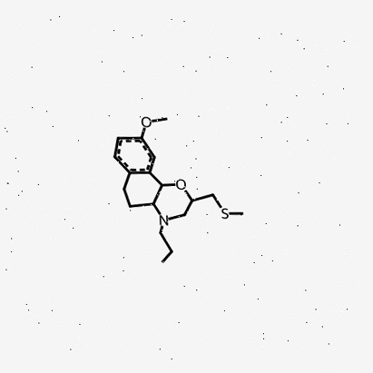 CCCN1CC(CSC)OC2c3cc(OC)ccc3CCC21